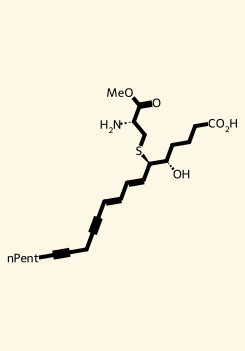 CCCCCC#CCC#C/C=C/C=C/[C@@H](SC[C@H](N)C(=O)OC)[C@@H](O)CCCC(=O)O